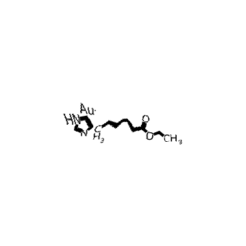 CCCCCC(=O)OCC.[Au].c1c[nH]cn1